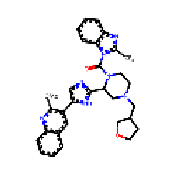 COc1nc2ccccc2cc1-c1cnc(C2CN(CC3CCOC3)CCN2C(=O)n2c(C(F)(F)F)nc3ccccc32)[nH]1